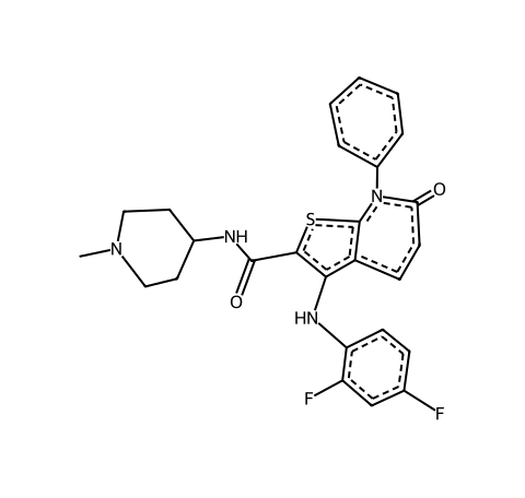 CN1CCC(NC(=O)c2sc3c(ccc(=O)n3-c3ccccc3)c2Nc2ccc(F)cc2F)CC1